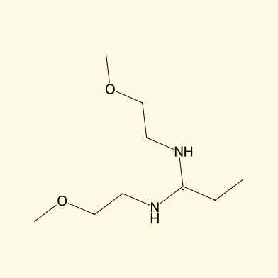 CC[C](NCCOC)NCCOC